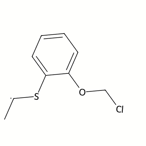 C[CH]Sc1ccccc1OCCl